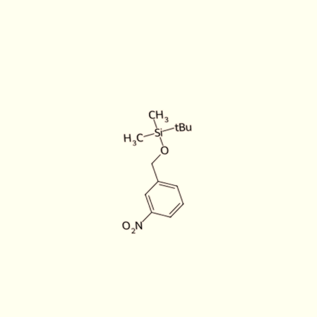 CC(C)(C)[Si](C)(C)OCc1cccc([N+](=O)[O-])c1